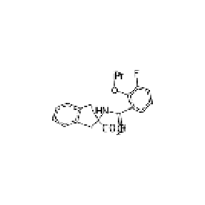 CC(C)Oc1c(F)cccc1C(=O)NC1(C(=O)O)Cc2ccccc2C1